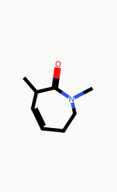 CC1C=CCCN(C)C1=O